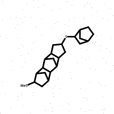 CSC1CC2CC1C1C3CC(C4CC(SC5CC6CCC5C6)CC43)C21